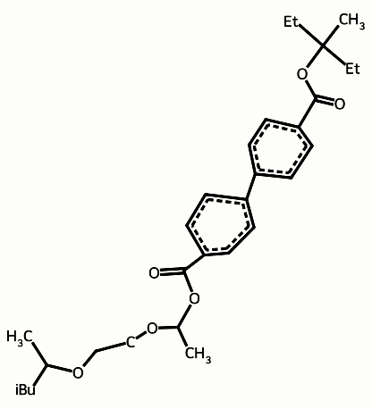 CCC(C)C(C)OCCOC(C)OC(=O)c1ccc(-c2ccc(C(=O)OC(C)(CC)CC)cc2)cc1